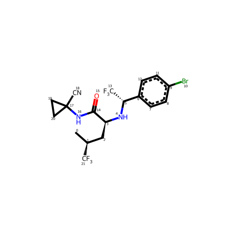 C[C@@H](C[C@H](N[C@@H](c1ccc(Br)cc1)C(F)(F)F)C(=O)NC1(C#N)CC1)C(F)(F)F